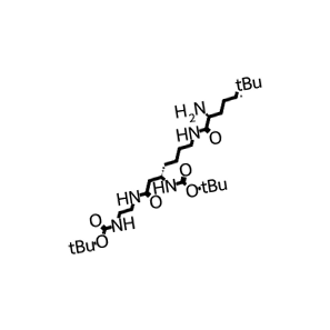 CC(C)(C)[CH]CC[C@H](N)C(=O)NCCCC[C@@H](CC(=O)NCCNC(=O)OC(C)(C)C)NC(=O)OC(C)(C)C